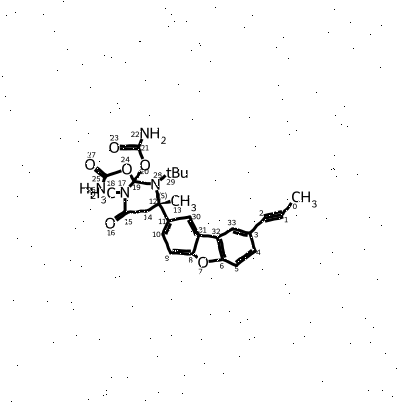 CC#Cc1ccc2oc3ccc([C@]4(C)CC(=O)N(C)C(OC(N)=O)(OC(N)=O)N4C(C)(C)C)cc3c2c1